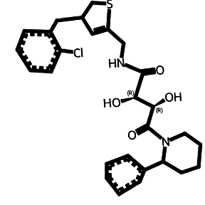 O=C(NCC1=CC(Cc2ccccc2Cl)CS1)[C@H](O)[C@@H](O)C(=O)N1CCCCC1c1ccccc1